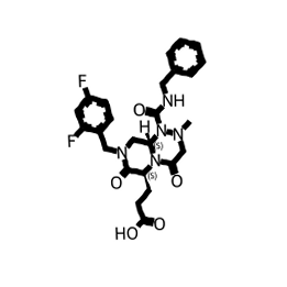 CN1CC(=O)N2[C@@H](CCC(=O)O)C(=O)N(Cc3ccc(F)cc3F)C[C@@H]2N1C(=O)NCc1ccccc1